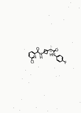 C[C@H](C(=O)Nc1ccc(F)cc1)C12CC(NC(=O)c3cccc(Cl)n3)(C1)C2